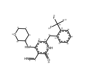 N=Cc1c(NC2CCCOC2)nc(Cc2ccccc2C(F)(F)F)[nH]c1=O